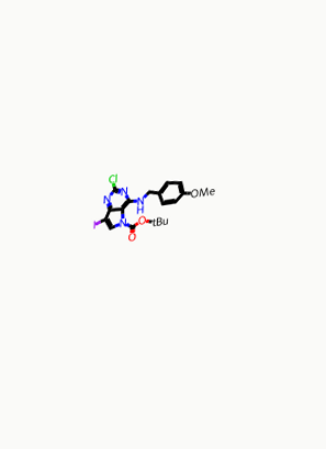 COc1ccc(CNc2nc(Cl)nc3c(I)cn(C(=O)OC(C)(C)C)c23)cc1